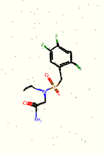 CCN(CC(N)=O)S(=O)(=O)Cc1cc(F)c(F)cc1F